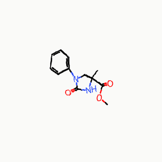 COC(=O)C1(C)CN(c2ccccc2)C(=O)N1